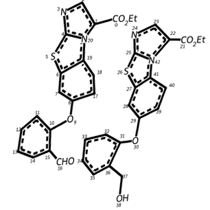 CCOC(=O)c1cnc2sc3cc(Oc4ccccc4C=O)ccc3n12.CCOC(=O)c1cnc2sc3cc(Oc4ccccc4CO)ccc3n12